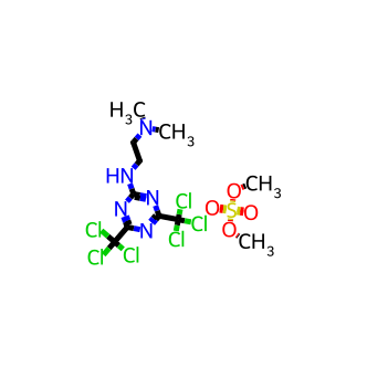 CN(C)CCNc1nc(C(Cl)(Cl)Cl)nc(C(Cl)(Cl)Cl)n1.COS(=O)(=O)OC